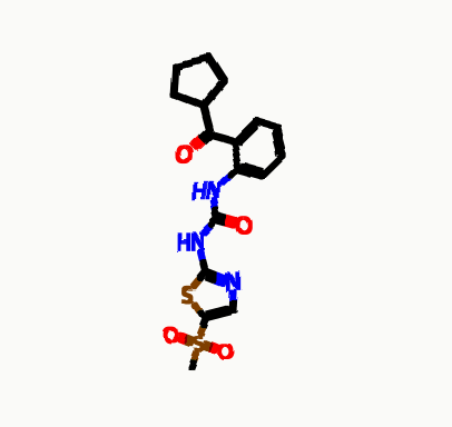 CS(=O)(=O)c1cnc(NC(=O)Nc2ccccc2C(=O)C2CCCC2)s1